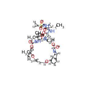 CC[C@H]1C[C@@]1(NC(=O)C1C[C@@H]2CN1C(=O)[C@H](C(C)(C)C)NC(=O)OCC(C)(C)OCCCCOc1cccc3c1CN(C3)C(=O)O2)C(=O)NS(=O)(=O)C1CC1